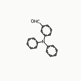 O=Cc1cccc(N(c2ccccc2)c2ccccc2)c1